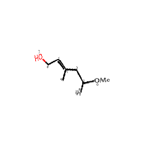 COC(C/C(C)=C/CO)C(C)C